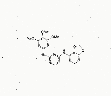 COc1cc(Nc2nccc(Nc3cccc4c3OCO4)n2)cc(OC)c1OC